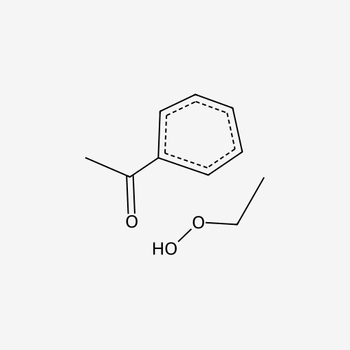 CC(=O)c1ccccc1.CCOO